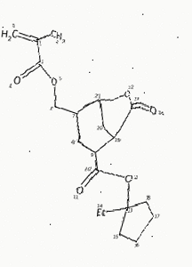 C=C(C)C(=O)OCC1CC(C(=O)OC2(CC)CCCC2)C2CC1OC2=O